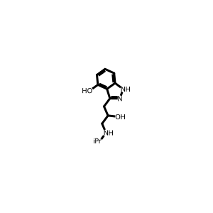 CC(C)NCC(O)Cc1n[nH]c2cccc(O)c12